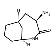 N[C@@H]1C[C@@H]2CCC[C@@H](C2)NC1=O